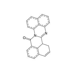 O=C1c2cccc3c2C(CC=C3)C2=Nc3cccc4cccc(c34)N12